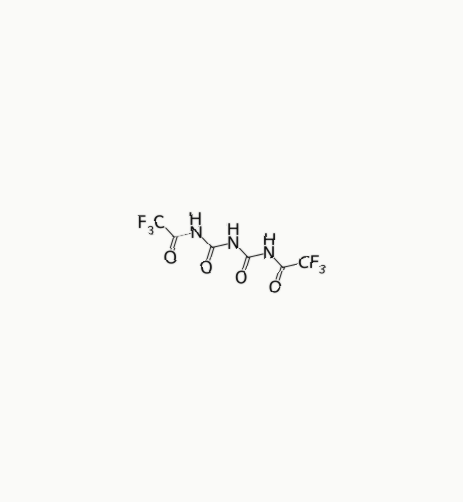 O=C(NC(=O)NC(=O)C(F)(F)F)NC(=O)C(F)(F)F